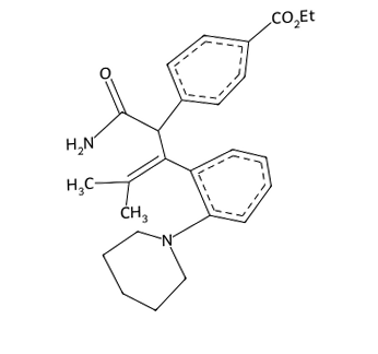 CCOC(=O)c1ccc(C(C(N)=O)C(=C(C)C)c2ccccc2N2CCCCC2)cc1